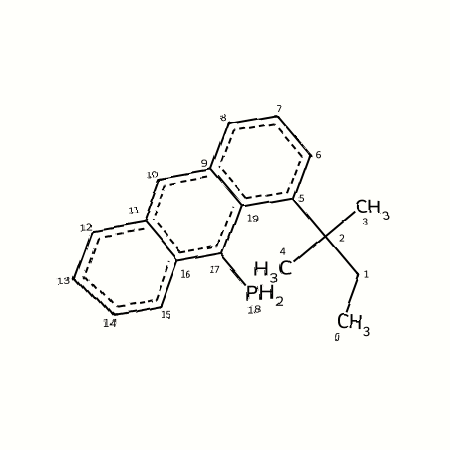 CCC(C)(C)c1cccc2cc3ccccc3c(P)c12